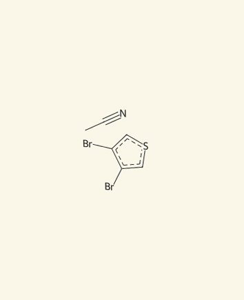 Brc1cscc1Br.CC#N